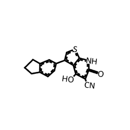 N#Cc1c(O)c2c(-c3ccc4c(c3)CCC4)csc2[nH]c1=O